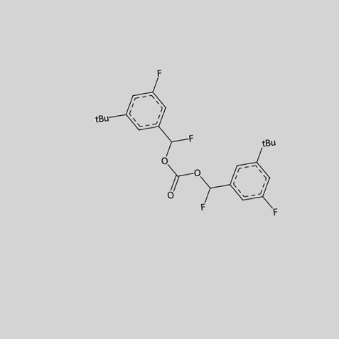 CC(C)(C)c1cc(F)cc(C(F)OC(=O)OC(F)c2cc(F)cc(C(C)(C)C)c2)c1